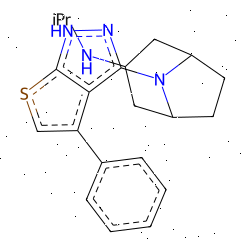 CC(C)NC1CC2CCC(C1)N2c1n[nH]c2scc(-c3ccccc3)c12